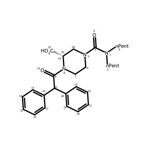 CCCCCN(CCCCC)C(=O)N1CCN(C(=O)C(c2ccccc2)c2ccccc2)[C@H](C(=O)O)C1